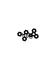 c1ccc(N2c3ccccc3B3c4oc5c6ccccc6c6ccccc6c5c4-c4cccc2c43)cc1